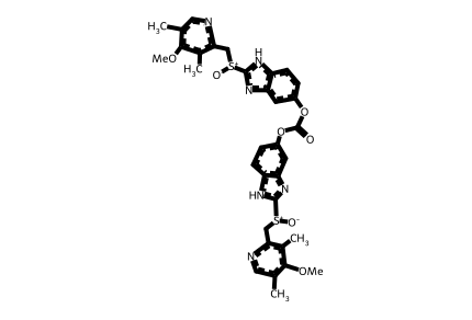 COc1c(C)cnc(C[S+]([O-])c2nc3cc(OC(=O)Oc4ccc5[nH]c([S+]([O-])Cc6ncc(C)c(OC)c6C)nc5c4)ccc3[nH]2)c1C